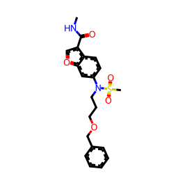 CNC(=O)c1coc2cc(N(CCCOCc3ccccc3)S(C)(=O)=O)ccc12